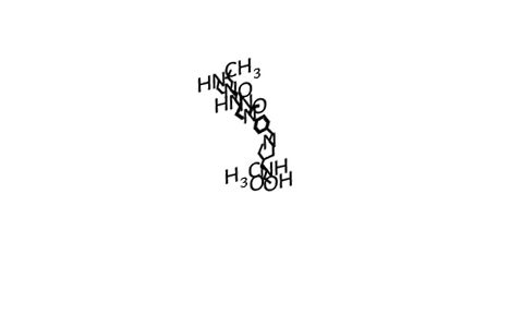 CC1CN(C(=O)Nc2ccn(-c3ccc(CN4CCC(C(C)NC(=O)O)CC4)cc3)c(=O)n2)CCN1